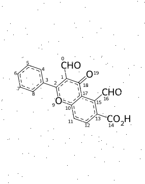 O=Cc1c(-c2ccccc2)oc2ccc(C(=O)O)c(C=O)c2c1=O